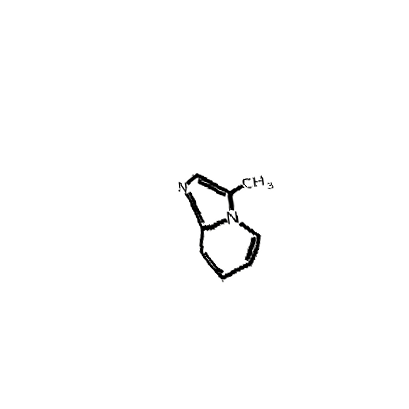 Cc1[c]nc2c[c]ccn12